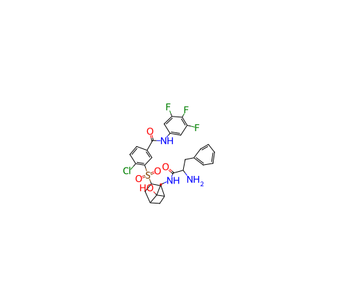 NC(Cc1ccccc1)C(=O)NCC1(O)C2CC1CC(S(=O)(=O)c1cc(C(=O)Nc3cc(F)c(F)c(F)c3)ccc1Cl)C2